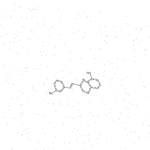 N#Cc1cccc(/C=C/c2ccc3cccc(O)c3n2)c1